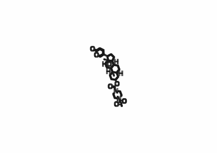 C[C@]12CC[C@H](OC(=O)N3CCN(S(C)(=O)=O)CC3)C[C@H]1CC[C@@H]1[C@@H]2CC[C@]2(C)[C@@H](c3ccc(=O)oc3)CC[C@]12O